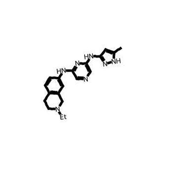 CCN1CCc2ccc(Nc3cncc(Nc4cc(C)[nH]n4)n3)cc2C1